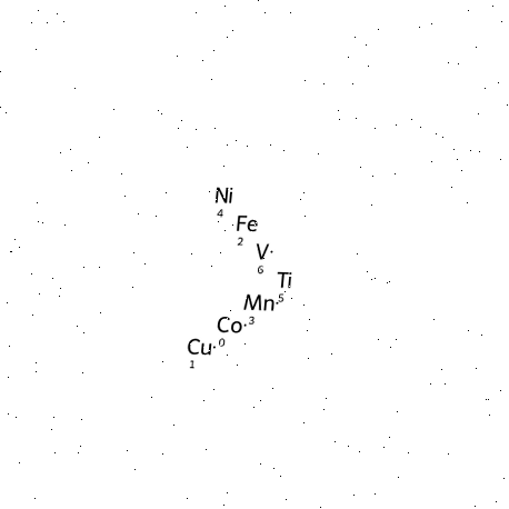 [Co].[Cu].[Fe].[Mn].[Ni].[Ti].[V]